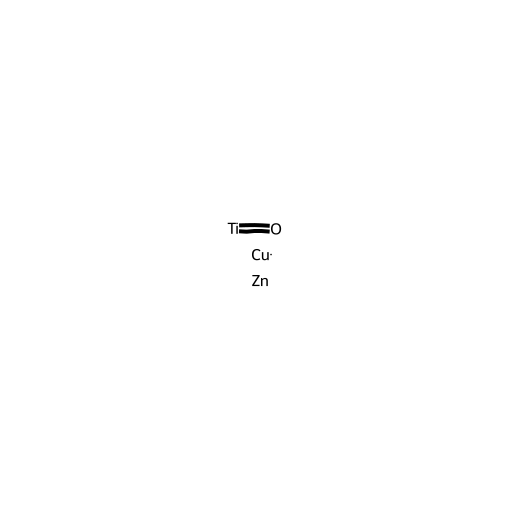 [Cu].[O]=[Ti].[Zn]